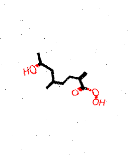 C=C(CCC(C)CC(C)O)C(=O)OO